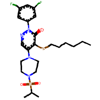 CCCCCCSc1c(N2CCN(S(=O)(=O)C(C)C)CC2)cnn(-c2cc(F)cc(F)c2)c1=O